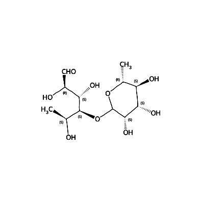 C[C@H](O)[C@H](OC1O[C@H](C)[C@@H](O)[C@H](O)[C@@H]1O)[C@@H](O)[C@@H](O)C=O